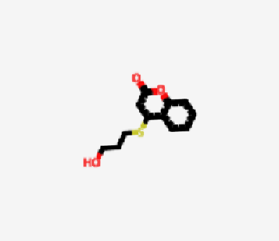 O=c1cc(SCCCO)c2ccccc2o1